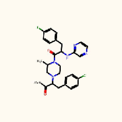 CNC(=O)C(Cc1ccc(Cl)cc1)N1CCN(C(=O)C(Cc2ccc(F)cc2)Nc2cnccn2)C(C)C1